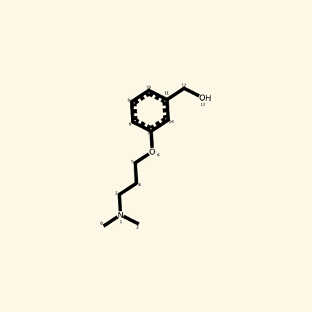 CN(C)CCCOc1cccc(CO)c1